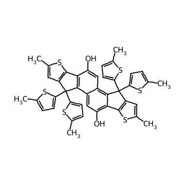 Cc1ccc(C2(c3ccc(C)s3)c3cc(C)sc3-c3c(O)cc4c5c(c(O)cc4c32)-c2sc(C)cc2C5(c2ccc(C)s2)c2ccc(C)s2)s1